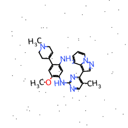 COc1cc(C2=CCN(C)CC2)c(N)cc1Nc1ncc(C)c(-c2cnn3ccccc23)n1